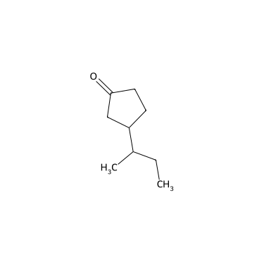 CCC(C)C1CCC(=O)C1